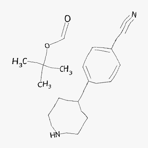 CC(C)(C)OC=O.N#Cc1ccc(C2CCNCC2)cc1